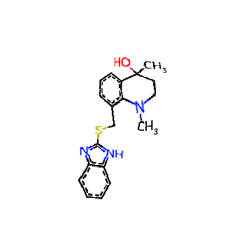 CN1CCC(C)(O)c2cccc(CSc3nc4ccccc4[nH]3)c21